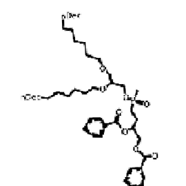 CCCCCCCCCCCCCCCCOCC(COP(C)(=O)CCC(COC(=O)c1ccccc1)OC(=O)c1ccccc1)OCCCCCCCCCCCCCCCC